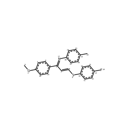 COc1ccc(C(C=CSc2ccc(F)cc2)=Nc2ccc(C)cc2)cc1